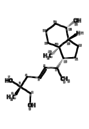 CC(/C=C/C[C@@](C)(O)CO)[C@H]1CC[C@H]2[C@@H](O)CCC[C@]12C